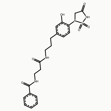 O=C(CCNC(=O)c1ccccc1)NCCCc1ccc(N2CC(=O)NS2(=O)=O)c(O)c1